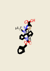 CCN(c1nc(C(=O)O)cs1)[C@H]1c2ccccc2N(C(=O)OCc2ccccc2)[C@@H]2CCC[C@@H]21